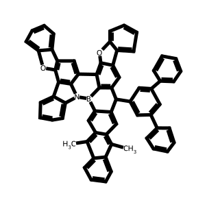 Cc1c2ccccc2c(C)c2cc3c(cc12)B1c2c(cc4c(oc5ccccc54)c2-c2cc4c5ccccc5oc4c4c5ccccc5n1c24)C3c1cc(-c2ccccc2)cc(-c2ccccc2)c1